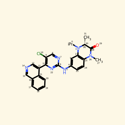 CC(C)N1c2cc(Nc3ncc(Cl)c(-c4cncc5ccccc45)n3)ccc2N(C)C(=O)[C@H]1C